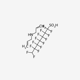 C=CCNCC=C.O=S(=O)(O)C(F)(F)C(F)(F)C(F)(F)C(F)(F)C(F)(F)C(F)(F)C(F)F